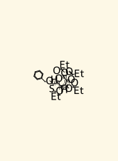 CCC(=O)O[C@@H]1O[C@@H]2C(OCc3ccccc3)=S=C(CC)O[C@H]2[C@H](OC(=O)CC)[C@H]1OC(=O)CC